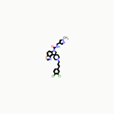 Cn1cc(CNC(=O)N2CC3(CCN(C/C=C/c4ccc(Cl)c(Cl)c4)CC3)c3c2ccc2scnc32)cn1